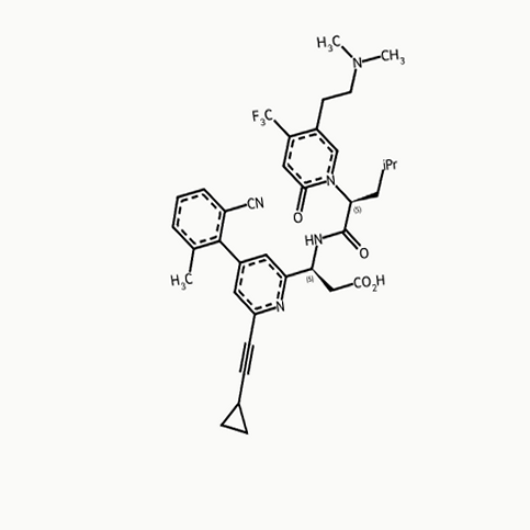 Cc1cccc(C#N)c1-c1cc(C#CC2CC2)nc([C@H](CC(=O)O)NC(=O)[C@H](CC(C)C)n2cc(CCN(C)C)c(C(F)(F)F)cc2=O)c1